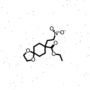 CCOC(=O)C1(CC[N+](=O)[O-])CCC2(CC1)OCCO2